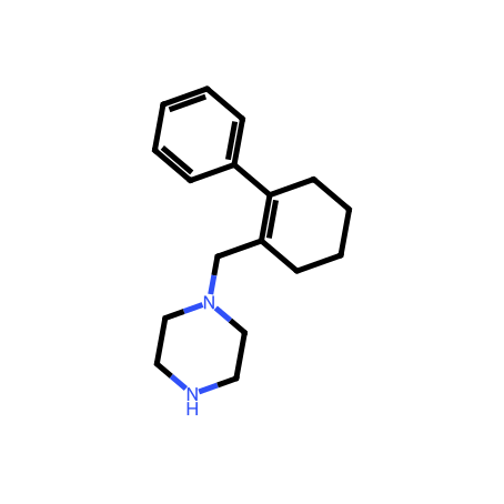 c1ccc(C2=C(CN3CCNCC3)CCCC2)cc1